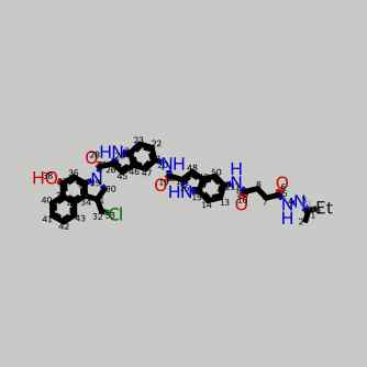 CC/C(C)=N/NC(=O)CCC(=O)Nc1ccc2[nH]c(C(=O)Nc3ccc4[nH]c(C(=O)N5CC(CCl)c6c5cc(O)c5ccccc65)cc4c3)cc2c1